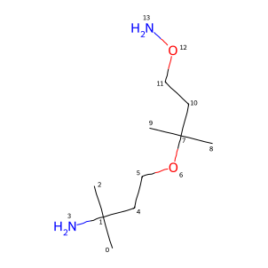 CC(C)(N)CCOC(C)(C)CCON